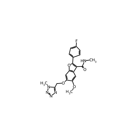 CNC(=O)c1c(-c2ccc(F)cc2)oc2cc(OCc3nnnn3C)c(OC)cc12